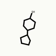 SC1CCC(C2CCCC2)CC1